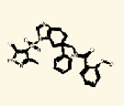 CCOc1ccccc1C(=O)NCC1(c2ccccc2)CCc2ncn(S(=O)(=O)c3c(C)n[nH]c3Cl)c2C1